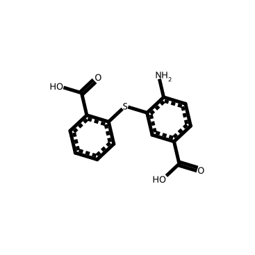 Nc1ccc(C(=O)O)cc1Sc1ccccc1C(=O)O